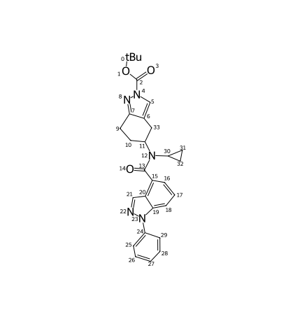 CC(C)(C)OC(=O)n1cc2c(n1)CCC(N(C(=O)c1cccc3c1cnn3-c1ccccc1)C1CC1)C2